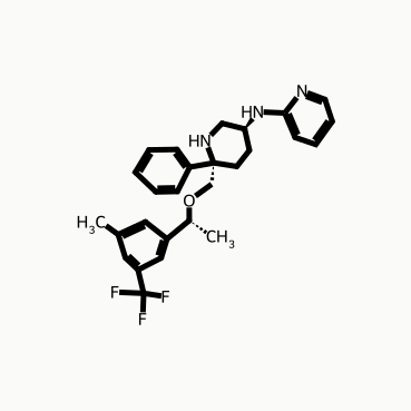 Cc1cc([C@@H](C)OC[C@@]2(c3ccccc3)CC[C@H](Nc3ccccn3)CN2)cc(C(F)(F)F)c1